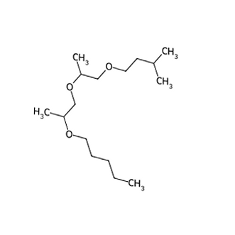 CCCCCOC(C)COC(C)COCCC(C)C